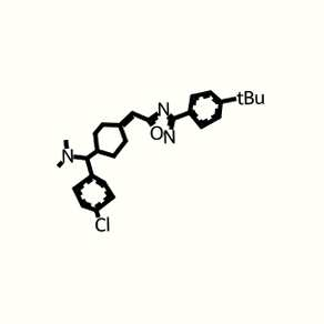 CN(C)C(c1ccc(Cl)cc1)C1CCC(=Cc2nc(-c3ccc(C(C)(C)C)cc3)no2)CC1